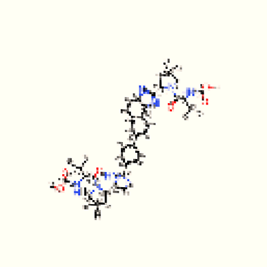 COC(=O)N[C@H](C(=O)N1C[Si](C)(C)C[C@H]1c1nc2ccc3cc(-c4ccc(-c5ncc([C@@H]6C[C@H]7C[C@H]7N6C(=O)[C@@H](NC(=O)OC)C(C)C)[nH]5)cc4)ccc3c2[nH]1)C(C)C